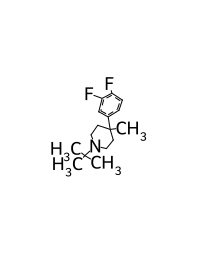 CC1(c2ccc(F)c(F)c2)CCN(C(C)(C)C)CC1